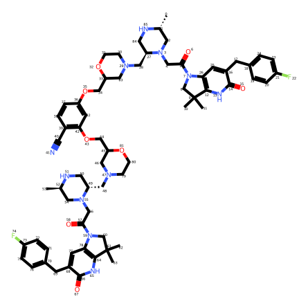 C[C@@H]1CN(CC(=O)N2CC(C)(C)c3[nH]c(=O)c(Cc4ccc(F)cc4)cc32)[C@@H](CN2CCOC(COc3ccc(C#N)c(OCC4CN(C[C@H]5CN[C@H](C)CN5CC(=O)N5CC(C)(C)c6[nH]c(=O)c(Cc7ccc(F)cc7)cc65)CCO4)c3)C2)CN1